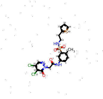 Cc1ccc(NC(=O)Cn2ncc(Cl)c(Cl)c2=O)cc1S(=O)(=O)NCCc1cccs1